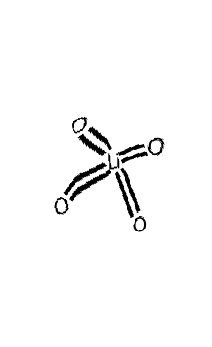 [O]=[Li](=[O])(=[O])=[O]